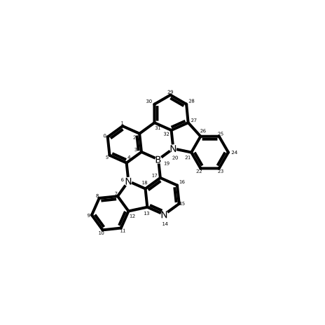 c1cc2c3c(c1)-n1c4ccccc4c4nccc(c41)B3n1c3ccccc3c3cccc-2c31